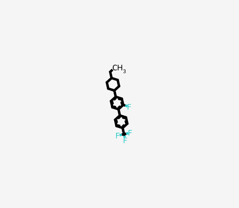 CCC1CCC(c2ccc(-c3ccc(C(F)(F)F)cc3)c(F)c2)CC1